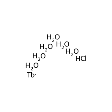 Cl.O.O.O.O.O.O.[Tb]